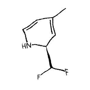 CC1=C[C@@H](C(F)F)NC=C1